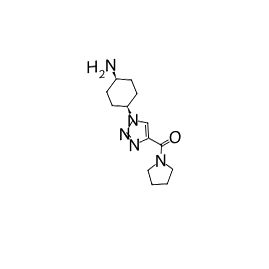 N[C@H]1CC[C@@H](n2cc(C(=O)N3CCCC3)nn2)CC1